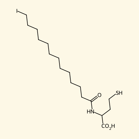 O=C(CCCCCCCCCCCCI)NC(CCS)C(=O)O